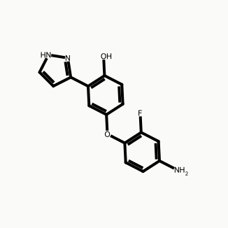 Nc1ccc(Oc2ccc(O)c(-c3cc[nH]n3)c2)c(F)c1